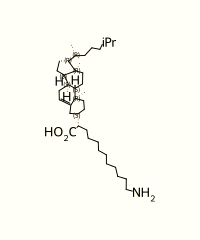 CC(C)CCC[C@@H](C)[C@H]1CC[C@H]2[C@@H]3CC=C4C[C@@H](C(CCCCCCCCCCN)C(=O)O)CC[C@]4(C)[C@H]3CC[C@]12C